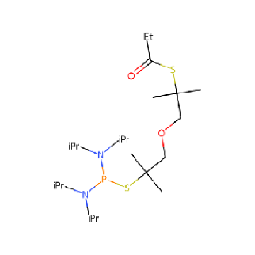 CCC(=O)SC(C)(C)COCC(C)(C)SP(N(C(C)C)C(C)C)N(C(C)C)C(C)C